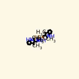 CC1=C(CSC2NN(CC3=C(C)c4ccccc4NC3(C)C)C(=S)S2)C(C)(C)Nc2ccccc21